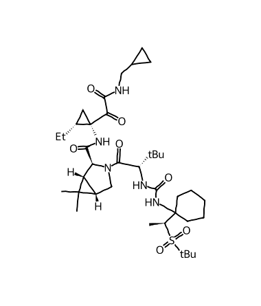 CC[C@@H]1C[C@@]1(NC(=O)[C@@H]1[C@@H]2[C@H](CN1C(=O)[C@@H](NC(=O)NC1([C@H](C)S(=O)(=O)C(C)(C)C)CCCCC1)C(C)(C)C)C2(C)C)C(=O)C(=O)NCC1CC1